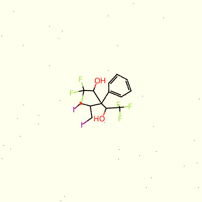 OC(C(F)(F)F)C(c1ccccc1)(C(CI)CI)C(O)C(F)(F)F